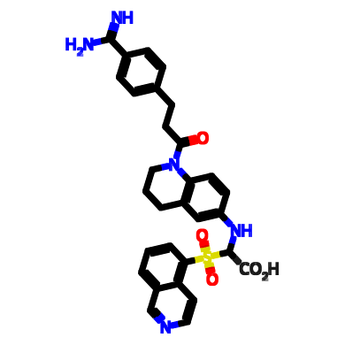 N=C(N)c1ccc(CCC(=O)N2CCCc3cc(NC(C(=O)O)S(=O)(=O)c4cccc5cnccc45)ccc32)cc1